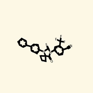 N#Cc1ccc(N2C(=O)C3(CCC3)N(c3ccc(-c4ccccc4)cc3)C2=S)cc1C(F)(F)F